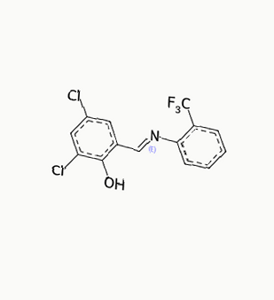 Oc1c(Cl)cc(Cl)cc1/C=N/c1ccccc1C(F)(F)F